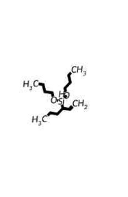 C=CC(CCC)[SiH](OCCCC)OCCCC